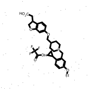 CCOc1ccc(C2CC2)c(CN2CCC(COc3ccc4c(c3)OCC4CC(=O)O)CC2)c1.O=C(O)C(F)(F)F